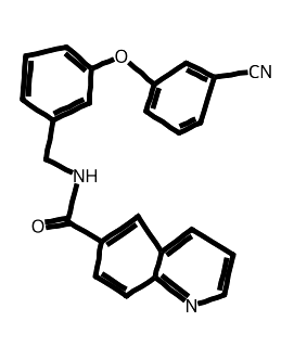 N#Cc1cccc(Oc2cccc(CNC(=O)c3ccc4ncccc4c3)c2)c1